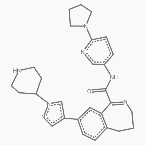 O=C(Nc1ccc(N2CCCC2)nc1)C1=NCCCc2ccc(-c3cnn(C4CCNCC4)c3)cc21